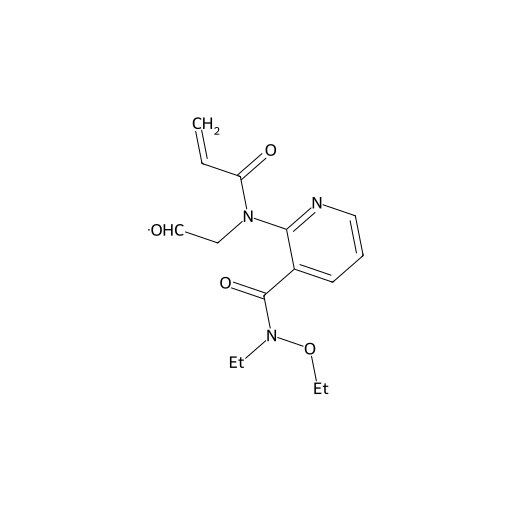 C=CC(=O)N(C[C]=O)c1ncccc1C(=O)N(CC)OCC